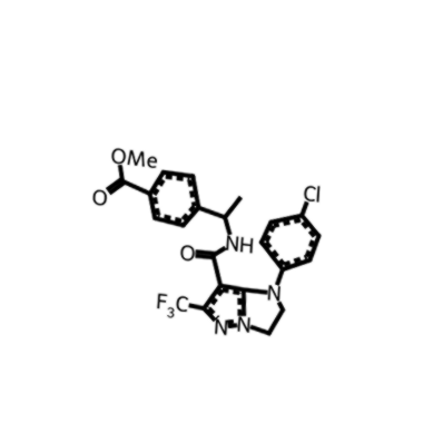 COC(=O)c1ccc(C(C)NC(=O)c2c(C(F)(F)F)nn3c2N(c2ccc(Cl)cc2)CC3)cc1